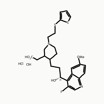 COc1ccc2ncc(F)c([C@H](O)CCC3CCN(CCSc4cccs4)CC3CC(=O)O)c2c1.Cl.Cl